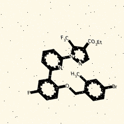 CCOC(=O)c1cnn(-c2cccc(-c3cc(F)ccc3OCc3ccc(Br)cc3C)n2)c1C(F)(F)F